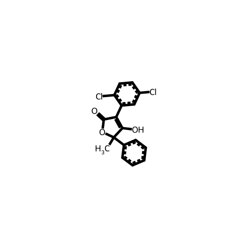 CC1(c2ccccc2)OC(=O)C(c2cc(Cl)ccc2Cl)=C1O